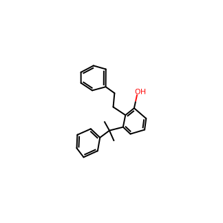 CC(C)(c1ccccc1)c1cccc(O)c1CCc1ccccc1